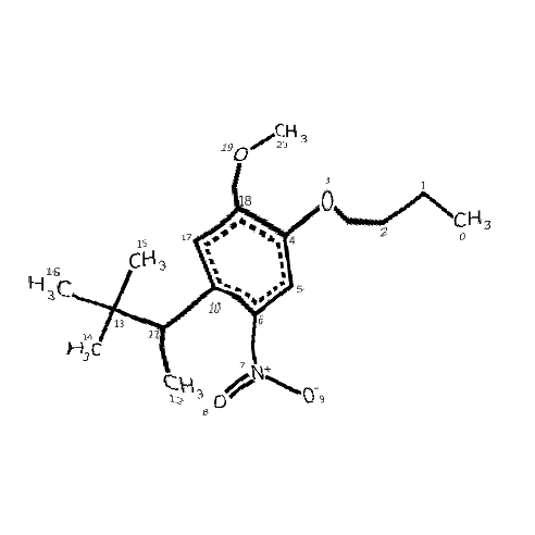 CCCOc1cc([N+](=O)[O-])c(C(C)C(C)(C)C)cc1OC